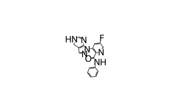 O=C(Nc1ccccc1)c1ncc(F)cc1-n1ncc2c1N=CNC2